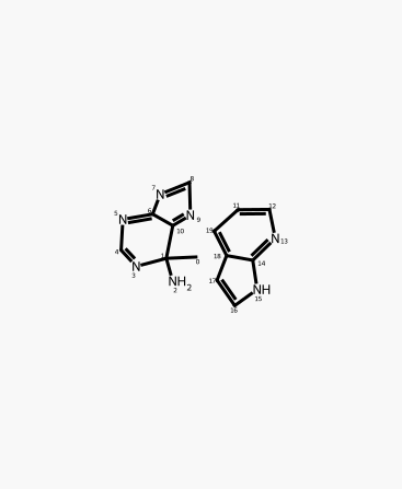 CC1(N)N=CN=C2N=CN=C21.c1cnc2[nH]ccc2c1